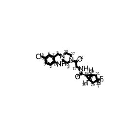 Nc1ccc(Cl)cc1CN1CCN(C(=O)CNC(=O)[C@H]2[C@@H]3CC(F)(F)C[C@@H]32)CC1